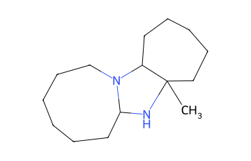 CC12CCCCCC1N1CCCCCCC1N2